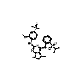 COc1cc(P(C)(C)=O)ccc1Nc1nc(Nc2ccccc2S(=O)(=O)C(C)C)c2c(C)c[nH]c2n1